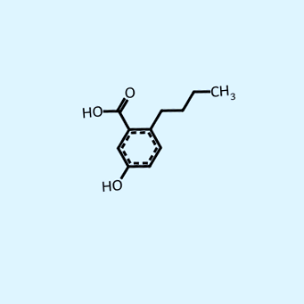 CCCCc1ccc(O)cc1C(=O)O